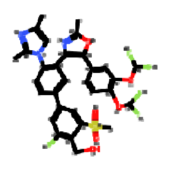 Cc1cn(-c2ccc(-c3cc(F)c(CO)c(S(C)(=O)=O)c3)cc2-c2nc(C)oc2-c2ccc(OC(F)F)c(OC(F)F)c2)c(C)n1